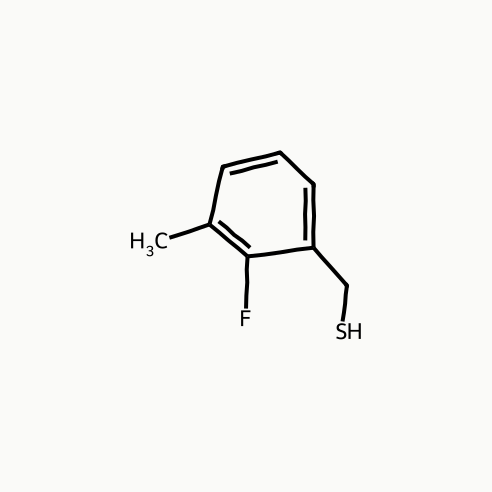 Cc1cccc(CS)c1F